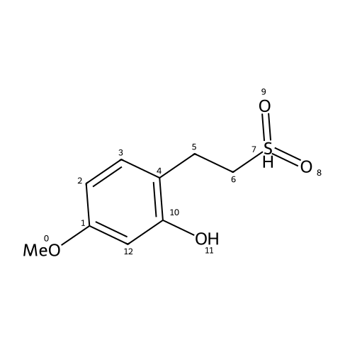 COc1ccc(CC[SH](=O)=O)c(O)c1